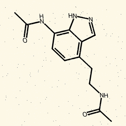 CC(=O)NCCc1ccc(NC(C)=O)c2[nH]ncc12